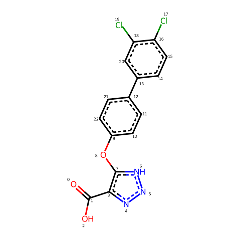 O=C(O)c1nn[nH]c1Oc1ccc(-c2ccc(Cl)c(Cl)c2)cc1